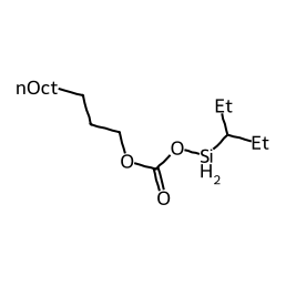 CCCCCCCCCCCOC(=O)O[SiH2]C(CC)CC